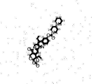 CCc1c2c(nc3ccc(OC(=O)N4CCC(N5CCCCC5)CC4)cc13)-c1cc3c(c(=O)n1C2)COC(=O)C3(CC)OC=O